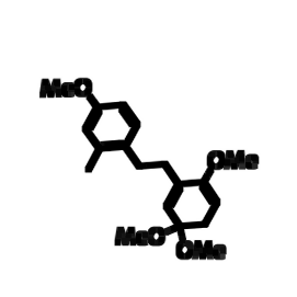 COC1=CCC(OC)(OC)C=C1CCc1ccc(OC)cc1C